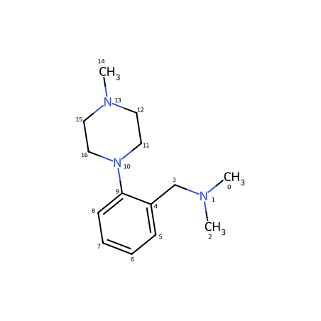 CN(C)Cc1ccccc1N1CCN(C)CC1